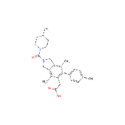 Cc1ccc(-c2c(C)c3c(c(C)c2CC(=O)O)CN(C(=O)N2CCC(C)CC2)C3)cc1